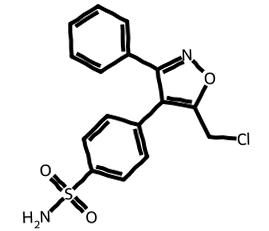 NS(=O)(=O)c1ccc(-c2c(-c3ccccc3)noc2CCl)cc1